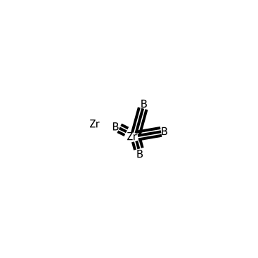 [B]#[Zr](#[B])(#[B])#[B].[Zr]